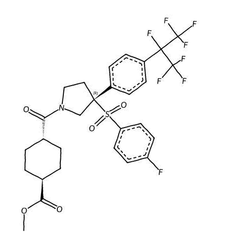 COC(=O)[C@H]1CC[C@H](C(=O)N2CC[C@](c3ccc(C(F)(C(F)(F)F)C(F)(F)F)cc3)(S(=O)(=O)c3ccc(F)cc3)C2)CC1